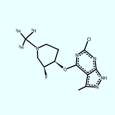 [2H]C([2H])([2H])N1CC[C@@H](Oc2nc(Cl)nc3[nH]nc(C)c23)[C@@H](F)C1